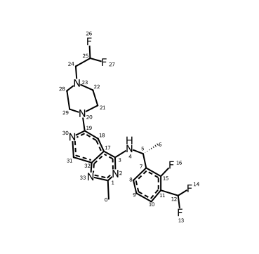 Cc1nc(N[C@H](C)c2cccc(C(F)F)c2F)c2cc(N3CCN(CC(F)F)CC3)ncc2n1